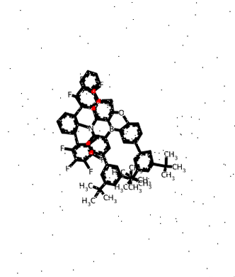 CC(C)(C)c1cc(-c2ccc3c(c2)B2c4cc(-c5cc(C(C)(C)C)cc(C(C)(C)C)c5)ccc4N(c4c(-c5c(F)c(F)c(F)c(F)c5F)cccc4-c4c(F)c(F)c(F)c(F)c4F)c4cc(-c5ccccc5)cc(c42)O3)cc(C(C)(C)C)c1